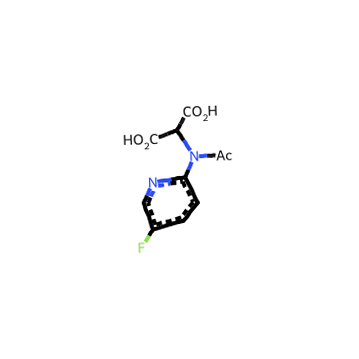 CC(=O)N(c1ccc(F)cn1)C(C(=O)O)C(=O)O